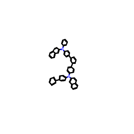 c1ccc(-c2ccc(N(c3ccc(-c4cccc(-c5ccc(N(c6ccccc6)c6ccc7ccccc7c6)cc5)c4)cc3)c3ccc4ccccc4c3)cc2)cc1